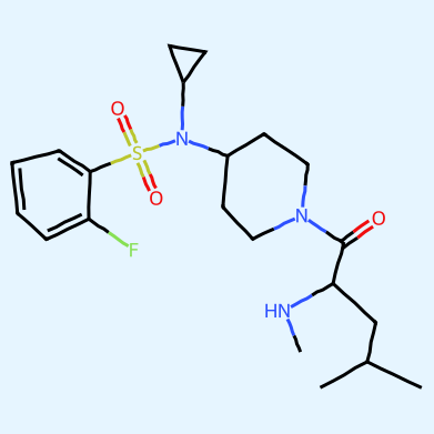 CNC(CC(C)C)C(=O)N1CCC(N(C2CC2)S(=O)(=O)c2ccccc2F)CC1